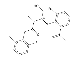 C=C(C)c1cccc(C(C)C)c1C[C@H](CO)C(C)C(=O)Cc1c(C)cccc1F